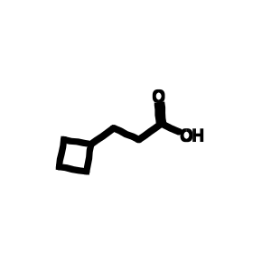 O=C(O)CCC1CCC1